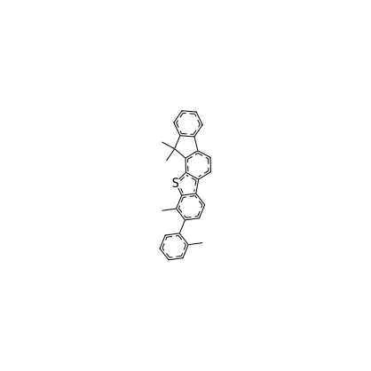 Cc1ccccc1-c1ccc2c(sc3c4c(ccc32)-c2ccccc2C4(C)C)c1C